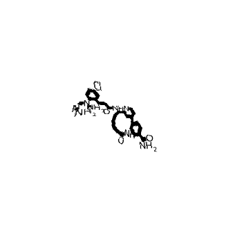 N/N=C\N(N)c1ccc(Cl)cc1/C=C/C(=O)NC1CCCCC(=O)Nc2cc(C(N)=O)ccc2-c2ccnc1c2